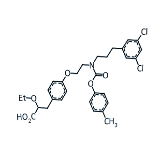 CCOC(Cc1ccc(OCCN(CCCc2cc(Cl)cc(Cl)c2)C(=O)Oc2ccc(C)cc2)cc1)C(=O)O